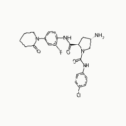 N[C@H]1C[C@H](C(=O)Nc2ccc(N3CCCCC3=O)cc2F)N(C(=O)Nc2ccc(Cl)cc2)C1